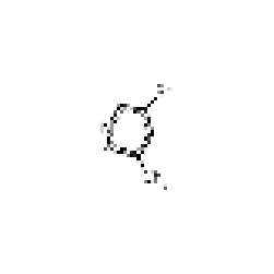 FC(F)(F)c1[c]ncc(Br)c1